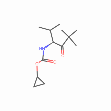 CC(C)[C@H](NC(=O)OC1CC1)C(=O)C(C)(C)C